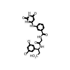 O=C(O)CC(NC(=O)CNC(=O)c1cccc(Nc2cc(=O)[nH]c(=O)[nH]2)c1)c1cc(Cl)cc(Cl)c1